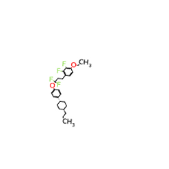 CCC[C@H]1CC[C@H](c2ccc(OC(F)(F)CCc3ccc(OCC)c(F)c3F)cc2)CC1